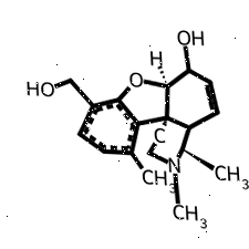 Cc1ccc(CO)c2c1[C@]13CCN(C)[C@H](C)C1C=CC(O)[C@@H]3O2